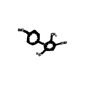 Cc1cc(C=O)c(C)n1-c1ccc(C#N)cc1